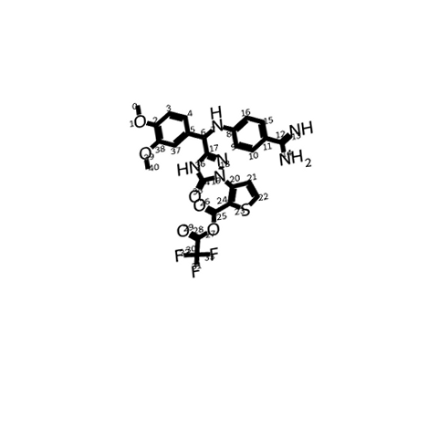 COc1ccc(C(Nc2ccc(C(=N)N)cc2)c2nn(-c3ccsc3C(=O)OC(=O)C(F)(F)F)c(=O)[nH]2)cc1OC